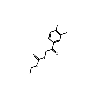 CCOC(=S)SCC(=O)c1ccc(F)c(C)c1